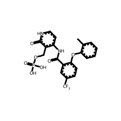 Cc1ccccc1Oc1ccc(C(F)(F)F)cc1C(=O)Nc1cc[nH]c(=O)c1COP(=O)(O)O